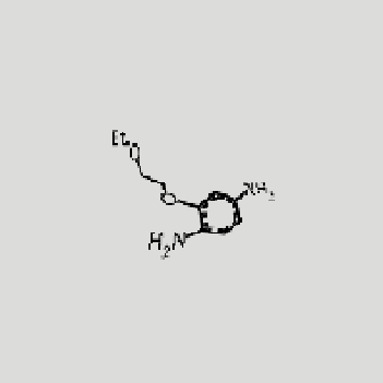 CCOCCOc1cc(N)ccc1N